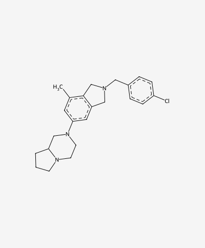 Cc1cc(N2CCN3CCCC3C2)cc2c1CN(Cc1ccc(Cl)cc1)C2